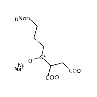 CCCCCCCCCCCC[S+]([O-])C(CC(=O)[O-])C(=O)[O-].[Na+].[Na+]